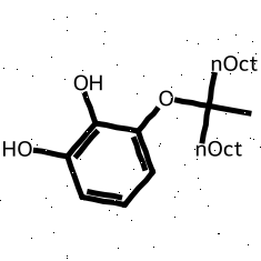 CCCCCCCCC(C)(CCCCCCCC)Oc1cccc(O)c1O